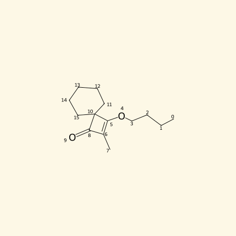 CCCCOC1=C(C)C(=O)C12CCCCC2